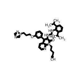 C#CCCCn1c(=O)c(NC(=O)Nc2c(C(C)C)cccc2C(C)C)c(-c2cccc(OCCCn3cncn3)c2)c2cccnc21